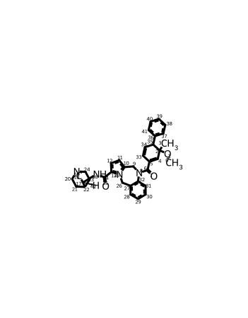 COC1(C)C=C(C(=O)N2Cc3ccc(C(=O)N[C@H]4CN5CCC4CC5)n3Cc3ccccc32)C=CC1c1ccccc1